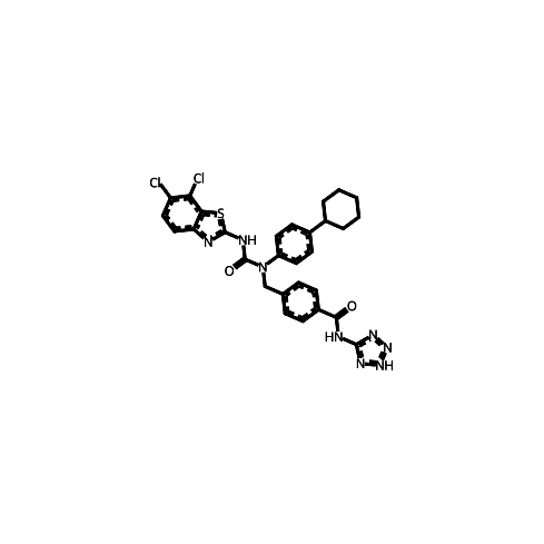 O=C(Nc1nn[nH]n1)c1ccc(CN(C(=O)Nc2nc3ccc(Cl)c(Cl)c3s2)c2ccc(C3CCCCC3)cc2)cc1